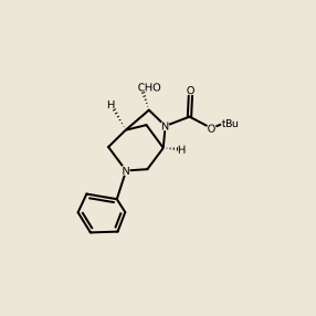 CC(C)(C)OC(=O)N1[C@@H]2C[C@@H](CN(c3ccccc3)C2)[C@@H]1C=O